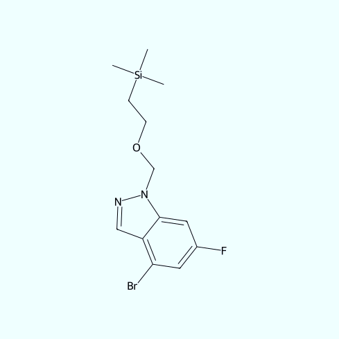 C[Si](C)(C)CCOCn1ncc2c(Br)cc(F)cc21